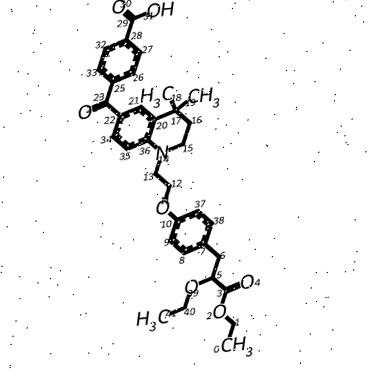 CCOC(=O)C(Cc1ccc(OCCN2CCC(C)(C)c3cc(C(=O)c4ccc(C(=O)O)cc4)ccc32)cc1)OCC